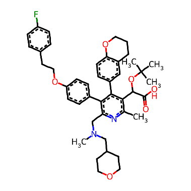 Cc1nc(CN(C)CC2CCOCC2)c(-c2ccc(OCCc3ccc(F)cc3)cc2)c(-c2ccc3c(c2)CCCO3)c1C(OC(C)(C)C)C(=O)O